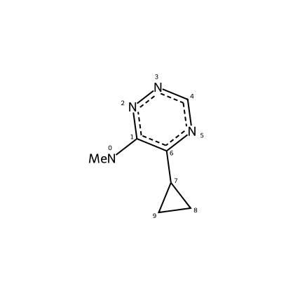 CNc1nncnc1C1CC1